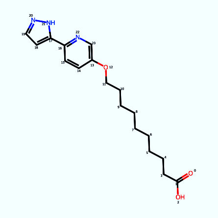 O=C(O)CCCCCCCCCOc1ccc(-c2ccn[nH]2)nc1